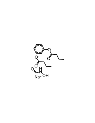 CCCC(=O)Oc1ccccc1.CCCC(=O)[O-].O=CNO.[Na+]